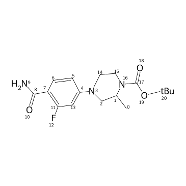 CC1CN(c2ccc(C(N)=O)c(F)c2)CCN1C(=O)OC(C)(C)C